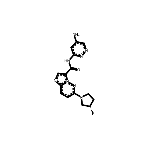 Nc1cnnc(NC(=O)c2cnc3ccc(N4CC[C@H](F)C4)nn23)c1